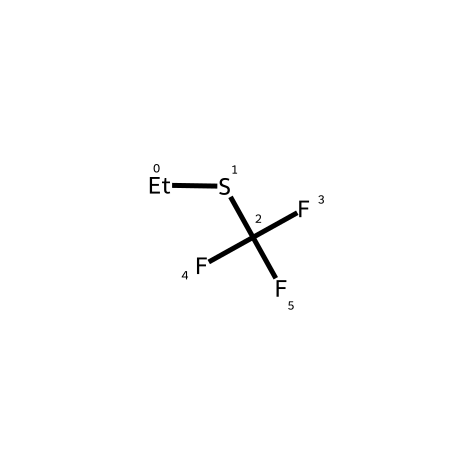 [CH2]CSC(F)(F)F